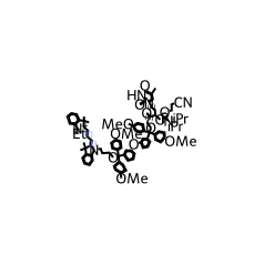 CC[N+]1=C(/C=C/C=C2/N(CCCOC(c3ccc(OC)cc3)(c3ccc(OC)cc3)c3cccc(Oc4cccc(C(OC[C@H]5O[C@@H](n6cc(C)c(=O)[nH]c6=O)CC5OP(OCCC#N)N(C(C)C)C(C)C)(c5ccc(OC)cc5)c5ccc(OC)cc5)c4)c3)c3ccccc3C2(C)C)C(C)(C)c2ccccc21